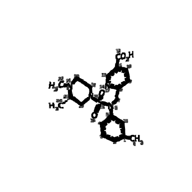 Cc1cccc(N(Cc2ccc(C(=O)O)cn2)S(=O)(=O)N2CCN(C)[C@@H](C)C2)c1